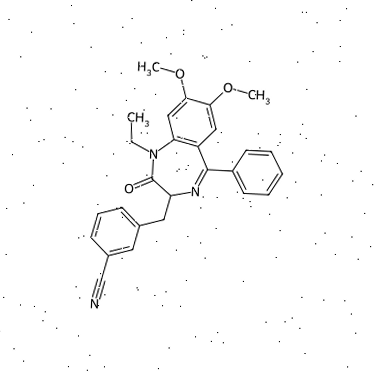 CCN1C(=O)C(Cc2cccc(C#N)c2)N=C(c2ccccc2)c2cc(OC)c(OC)cc21